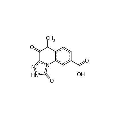 CC1C(=O)c2n[nH]c(=O)n2-c2cc(C(=O)O)ccc21